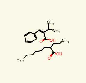 CC(C)C(=Cc1ccccc1)C(=O)O.CCCCCCC(CCC)C(=O)O